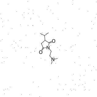 CC(C)C1CC(=O)N(CCN(C)C)C1=O